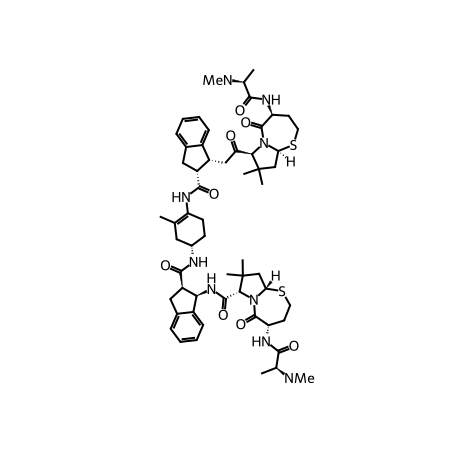 CN[C@@H](C)C(=O)N[C@H]1CCS[C@H]2CC(C)(C)[C@@H](C(=O)C[C@H]3c4ccccc4C[C@H]3C(=O)NC3=C(C)C[C@@H](NC(=O)[C@@H]4Cc5ccccc5[C@@H]4NC(=O)[C@H]4N5C(=O)[C@@H](NC(=O)[C@H](C)NC)CCS[C@H]5CC4(C)C)CC3)N2C1=O